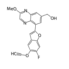 C#COc1cc2cc(-c3cc(CO)cc4nc(OC)cnc34)oc2cc1F